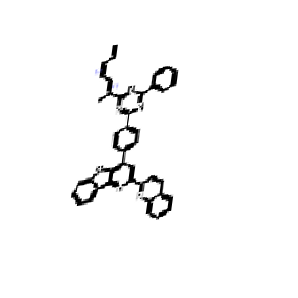 C=C/C=C\C=C(/C)c1nc(-c2ccccc2)nc(-c2ccc(-c3cc(-c4ccc5ccccc5n4)nc4c3oc3ccccc34)cc2)n1